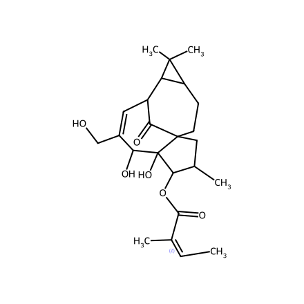 C/C=C(/C)C(=O)OC1C(C)CC23CCC4C(C(C=C(CO)C(O)C12O)C3=O)C4(C)C